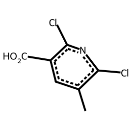 Cc1cc(C(=O)O)c(Cl)nc1Cl